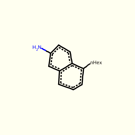 CCCCCCc1cccc2cc(N)ccc12